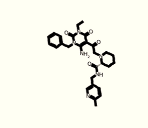 CCn1c(=O)c(C(=O)CN2CCCC[C@@H]2C(=O)NCc2ccc(C)nc2)c(N)n(Cc2ccccc2)c1=O